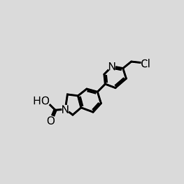 O=C(O)N1Cc2ccc(-c3ccc(CCl)nc3)cc2C1